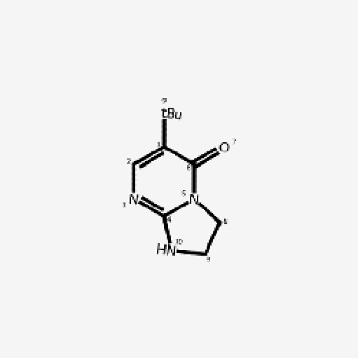 CC(C)(C)c1cnc2n(c1=O)CCN2